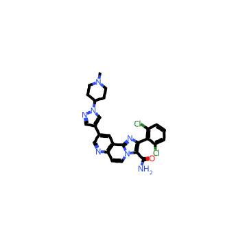 CN1CCC(n2cc(-c3cnc4ccn5c(C(N)=O)c(-c6c(Cl)cccc6Cl)nc5c4c3)cn2)CC1